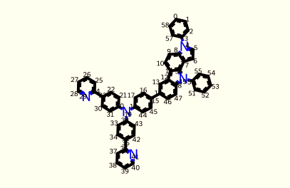 c1ccc(-n2ccc3c2ccc2c4cc(-c5ccc(N(c6ccc(-c7ccccn7)cc6)c6ccc(-c7ccccn7)cc6)cc5)ccc4n(-c4ccccc4)c23)cc1